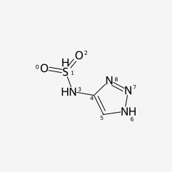 O=[SH](=O)Nc1c[nH]nn1